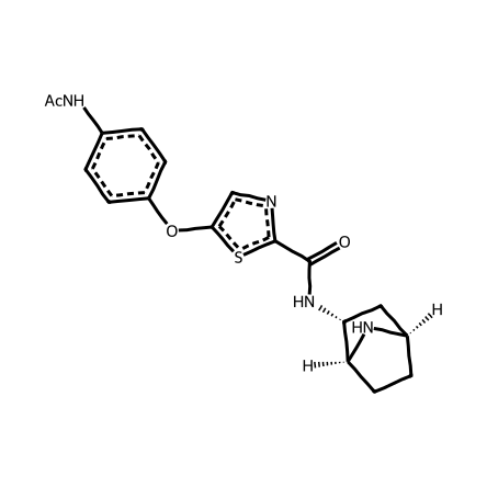 CC(=O)Nc1ccc(Oc2cnc(C(=O)N[C@@H]3C[C@H]4CC[C@@H]3N4)s2)cc1